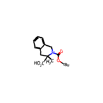 CC(C)(C)OC(=O)N1Cc2ccccc2CC1(C)C(=O)O